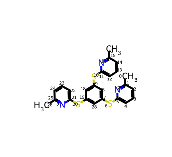 Cc1cccc(Sc2cc(Sc3cccc(C)n3)cc(Sc3cccc(C)n3)c2)n1